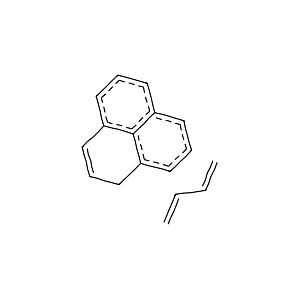 C1=Cc2cccc3cccc(c23)C1.C=CC=C